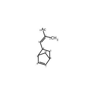 CC(=O)C(C)=CC1CC2C=CC1C2